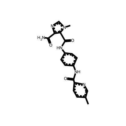 Cc1ccc(C(=O)Nc2ccc(NC(=O)c3c(C(N)=O)ncn3C)cc2)nc1